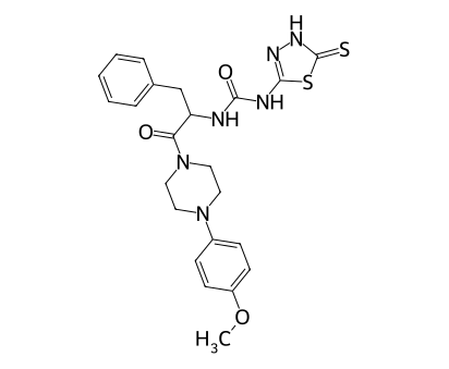 COc1ccc(N2CCN(C(=O)C(Cc3ccccc3)NC(=O)Nc3n[nH]c(=S)s3)CC2)cc1